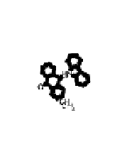 C.C.O=C1c2ccccc2C(=O)c2ccccc21.c1ccc2c(c1)[nH]c1ccccc12